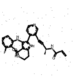 C=CC(=O)N[C@@H](C)C#Cc1cnccc1-c1[nH]c2c(c1Nc1cccc(F)c1OC)C(=O)NCC2